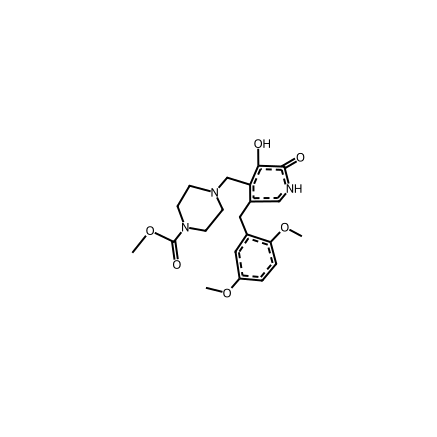 COC(=O)N1CCN(Cc2c(Cc3cc(OC)ccc3OC)c[nH]c(=O)c2O)CC1